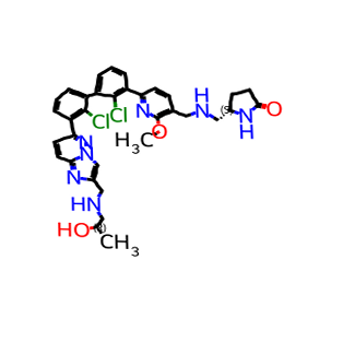 COc1nc(-c2cccc(-c3cccc(-c4ccc5nc(CNC[C@@H](C)O)cn5n4)c3Cl)c2Cl)ccc1CNC[C@@H]1CCC(=O)N1